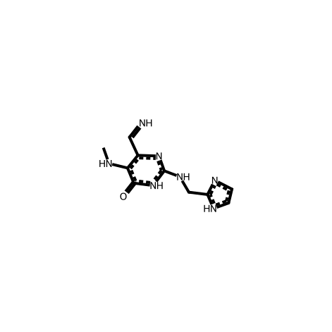 CNc1c(C=N)nc(NCc2ncc[nH]2)[nH]c1=O